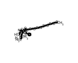 CC[N+](C)(C)CCOC(=O)C(CC(CSC(=S)c1ccccc1)C(=O)OCCOCCOCCOCCOCCOCCOCCOCCOCCOC)C(C)(C#N)CCC(=O)O